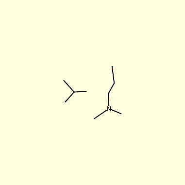 CC(C)C.CCCN(C)C